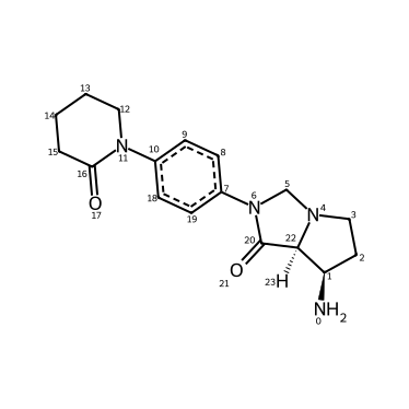 N[C@@H]1CCN2CN(c3ccc(N4CCCCC4=O)cc3)C(=O)[C@H]12